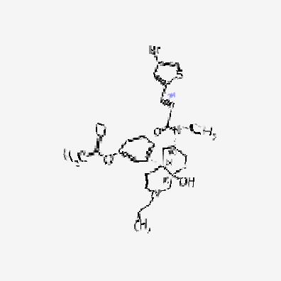 C=CCN1CC[C@@]2(c3cccc(OC(C)=O)c3)C[C@H](N(C)C(=O)/C=C/c3cc(Br)cs3)CC[C@]2(O)C1